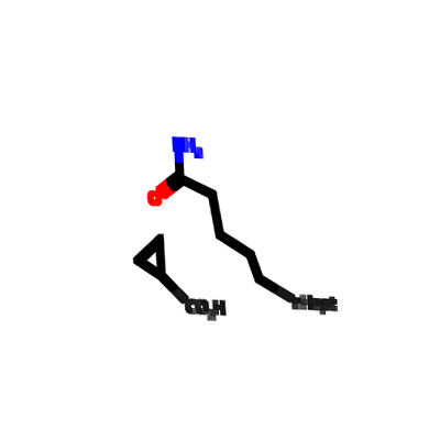 CCCCCCCCCCCC(N)=O.O=C(O)C1CC1